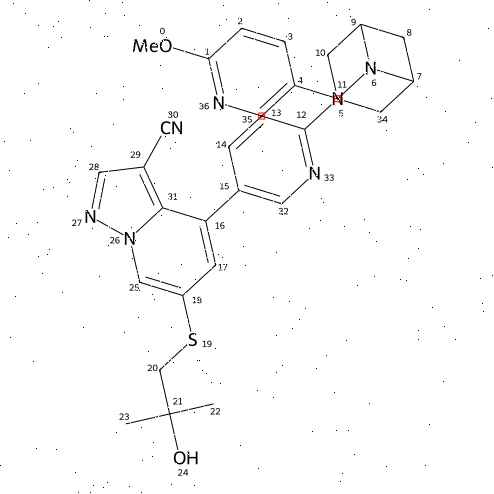 COc1ccc(CN2C3CC2CN(c2ccc(-c4cc(SCC(C)(C)O)cn5ncc(C#N)c45)cn2)C3)cn1